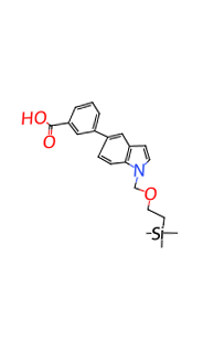 C[Si](C)(C)CCOCn1ccc2cc(-c3cccc(C(=O)O)c3)ccc21